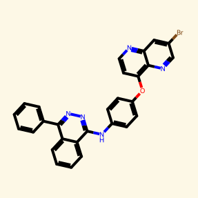 Brc1cnc2c(Oc3ccc(Nc4nnc(-c5ccccc5)c5ccccc45)cc3)ccnc2c1